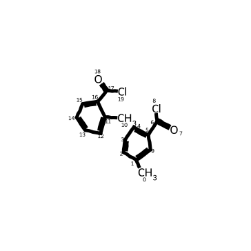 Cc1cccc(C(=O)Cl)c1.Cc1ccccc1C(=O)Cl